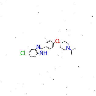 CC(C)N1CCC(Oc2ccc(-c3nc4cc(Cl)ccc4[nH]3)cc2)CC1